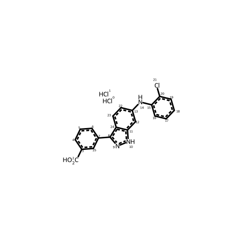 Cl.Cl.O=C(O)c1cccc(-c2n[nH]c3cc(Nc4ccccc4Cl)ccc23)c1